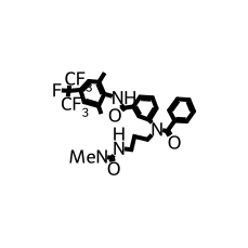 CNC(=O)NCCCN(C(=O)c1ccccc1)c1cccc(C(=O)Nc2c(C)cc(C(F)(C(F)(F)F)C(F)(F)F)cc2C)c1